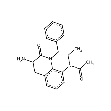 CCN(C(C)=O)c1cccc2c1N(Cc1ccccc1)C(=O)C(N)C2